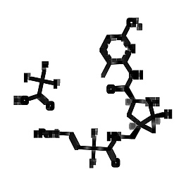 CCCCCC=CC(F)(F)C(=O)NC[C@@]12C[C@@H](C(=O)Nc3nc(C(F)(F)F)ccc3C)N[C@@H]1C2.O=C(O)C(F)(F)F